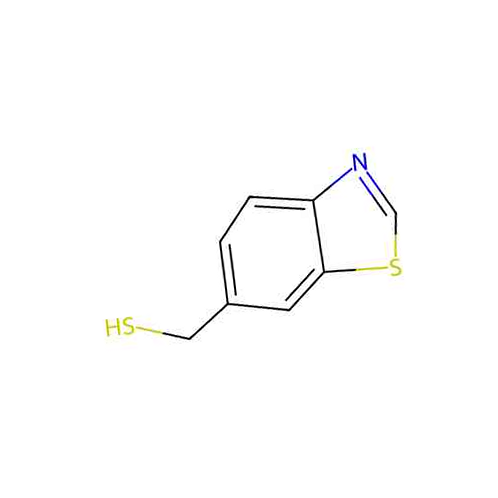 SCc1ccc2ncsc2c1